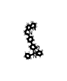 c1ccc(-c2nc3cccc4c3n2-c2ccc(-c3ccc(-c5ccc6ccc7cccnc7c6n5)cc3)cc2O4)cc1